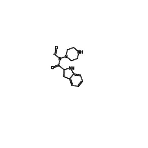 O=[C]N(C(=O)c1cc2ccccc2[nH]1)N1CCNCC1